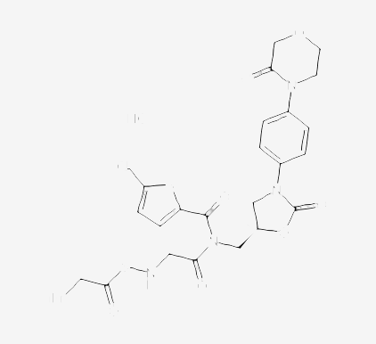 CC(C)CC(=O)SNCC(=O)N(C[C@H]1CN(c2ccc(N3CCOCC3=O)cc2)C(=O)O1)C(=O)c1ccc(Cl)s1.Cl